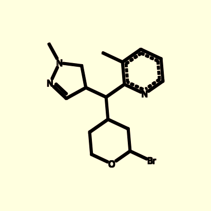 Cc1cccnc1C(C1C=NN(C)C1)C1CCOC(Br)C1